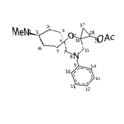 CN[C@H]1CC[C@@]2(CC1)CN(c1ccccc1)CC1(CC1OC(C)=O)O2